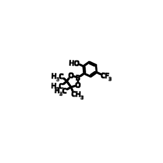 CC1(C)OB(c2cc(C(F)(F)F)ccc2O)OC1(C)C